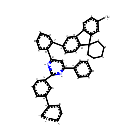 N#Cc1ccc2c(c1)C1(CCCCC1)c1ccc(-c3ccccc3-c3cc(-c4ccccc4)nc(-c4cccc(-c5ccccc5)c4)n3)cc1-2